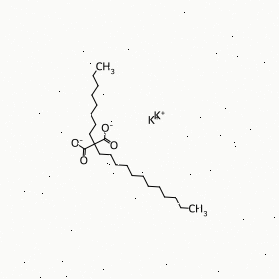 CCCCCCCCCCCCC(CCCCCCCC)(C(=O)[O-])C(=O)[O-].[K+].[K+]